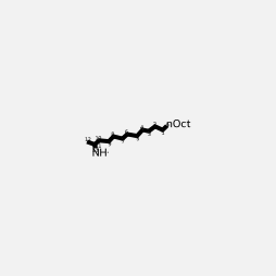 CCCCCCCCCCCCCCCCCCC(C)[NH]